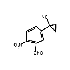 N#CC1(c2ccc([N+](=O)[O-])c(C=O)c2)CC1